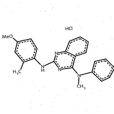 COc1ccc(Nc2nc(N(C)c3ccccc3)c3ccccc3n2)c(C)c1.Cl